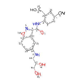 N#Cc1ccc(NC(=O)c2noc3ccc(NCC(O)CO)cc23)c(C(=O)O)c1